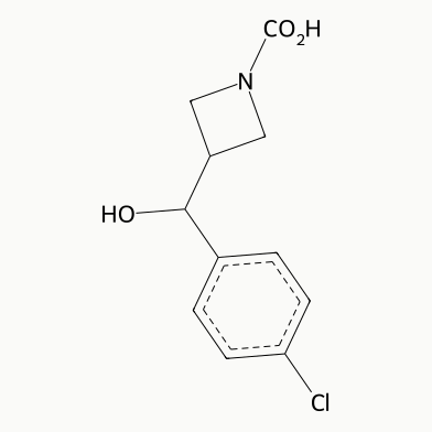 O=C(O)N1CC(C(O)c2ccc(Cl)cc2)C1